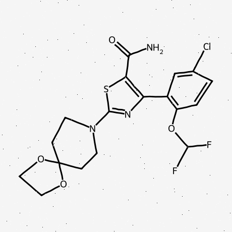 NC(=O)c1sc(N2CCC3(CC2)OCCO3)nc1-c1cc(Cl)ccc1OC(F)F